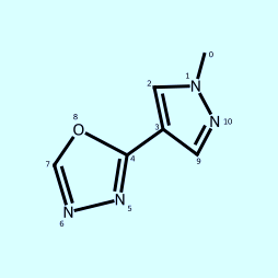 Cn1cc(-c2nnco2)cn1